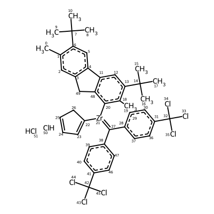 Cc1cc2c(cc1C(C)(C)C)-c1cc(C(C)(C)C)c(C)[c]([Zr]([C]3=CC=CC3)=[C](c3ccc(C(Cl)(Cl)Cl)cc3)c3ccc(C(Cl)(Cl)Cl)cc3)c1C2.Cl.Cl